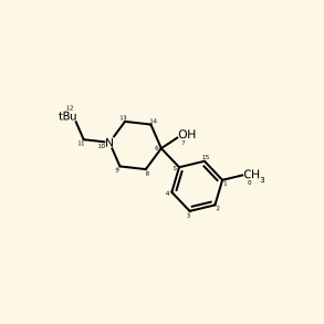 Cc1cccc(C2(O)CCN(CC(C)(C)C)CC2)c1